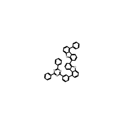 c1ccc(-c2nc(-c3ccccc3)nc(-c3cccc(-c4cccc5oc6c(-c7cccc8c7sc7cccc(-c9ccccc9)c78)cccc6c45)c3)n2)cc1